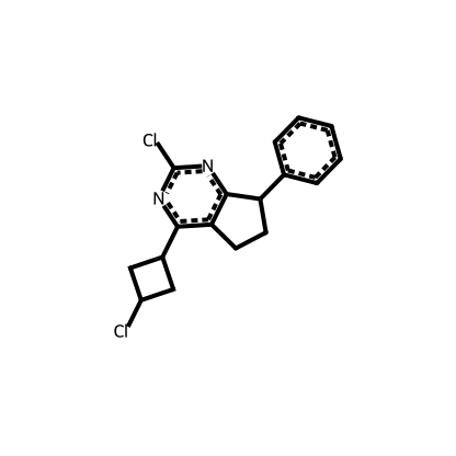 Clc1nc(C2CC(Cl)C2)c2c(n1)C(c1ccccc1)CC2